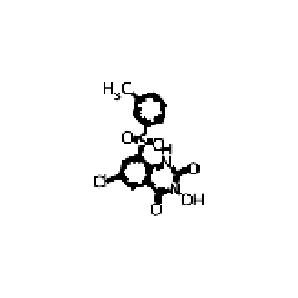 Cc1cccc(S(=O)(=O)c2cc(Cl)cc3c(=O)n(O)c(=O)[nH]c23)c1